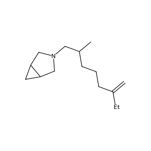 C=C(CC)CCCC(C)CN1CC2CC2C1